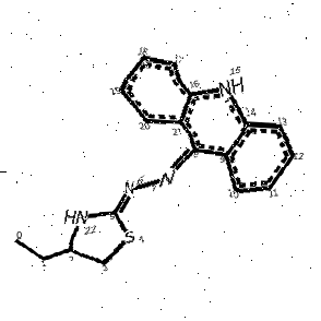 CCC1CSC(=NN=c2c3ccccc3[nH]c3ccccc23)N1